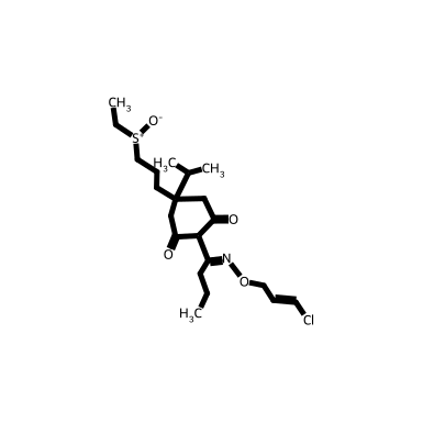 CCCC(=NOCC=CCl)C1C(=O)CC(CCC[S+]([O-])CC)(C(C)C)CC1=O